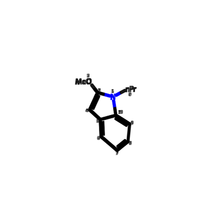 CCCn1c(OC)cc2ccccc21